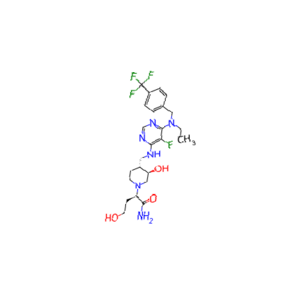 CCN(Cc1ccc(C(F)(F)F)cc1)c1ncnc(NC[C@H]2CCN([C@H](CCO)C(N)=O)C[C@@H]2O)c1F